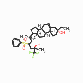 CC[C@]1(O)CC[C@H]2C(=CC[C@@H]3[C@@H]2CC[C@]2(C)[C@@H]([C@H](C)CC(CC(C)(O)C(F)(F)F)S(=O)(=O)c4ccccc4)CC[C@@H]32)C1